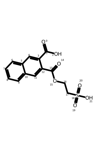 O=C(O)c1cc2ccccc2cc1C(=O)OCCS(=O)(=O)O